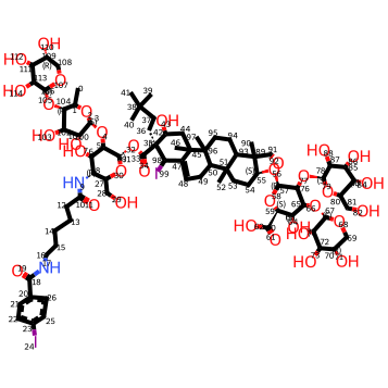 CC1O[C@@H](OC2C(O)[C@@H](NC(=O)CCCCCNC(=O)c3ccc(I)cc3)C(CO)O[C@H]2OC(=O)[C@@]2(CCC(C)(C)C)C(O)CC3(C)C(=CCC4C5(C)CC[C@H](O[C@@H]6O[C@H](C(=O)O)[C@@H](O)C(O[C@@H]7OC[C@@H](O)C(O)C7O)C6O[C@@H]6OC(CO)[C@H](O)C(O)C6O)C(C)(C=O)C5CCC43C)C2I)C(O)C(O)[C@H]1O[C@@H]1OC[C@@H](O)C(O)C1O